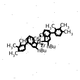 CCCCC1=Cc2c(-c3ccc(C)c(C)c3C)cccc2[CH]1[Zr]([Zr])([CH]1C(CCCC)=Cc2c(-c3ccc(C)c(C)c3C)cccc21)[SiH](C)C